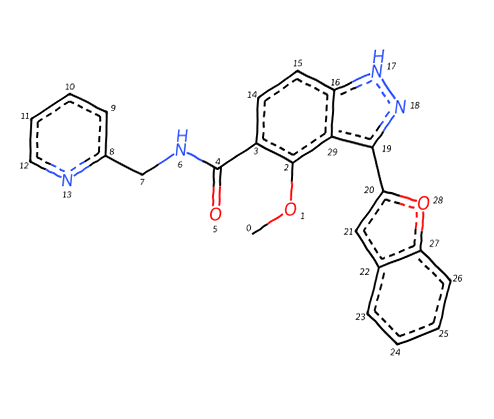 COc1c(C(=O)NCc2ccccn2)ccc2[nH]nc(-c3cc4ccccc4o3)c12